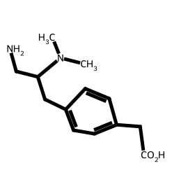 CN(C)C(CN)Cc1ccc(CC(=O)O)cc1